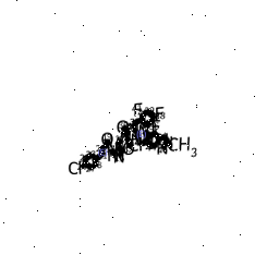 Cn1cc2cc(/N=c3\[nH]c(=O)n(Cc4cnnn4C(=O)/C=C/c4ccc(Cl)cc4)c(=O)n3Cc3cc(F)c(F)cc3F)c(Cl)cc2n1